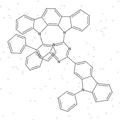 c1ccc(-c2nc(-c3ccc4c5ccccc5n(-c5ccccc5)c4c3)nc(-n3c4ccccc4c4ccc5c6ccccc6n(-c6ccccc6-c6ccccc6)c5c43)n2)cc1